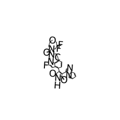 O=C1NC(=O)C(c2cnc3ccccn23)=C1c1ccc2c3c1cc(F)n3CN(C(=O)N1CCOCC(F)(F)C1)CC2